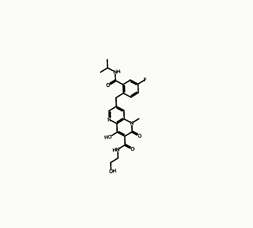 CC(C)NC(=O)c1cc(F)ccc1Cc1cnc2c(O)c(C(=O)NCCO)c(=O)n(C)c2c1